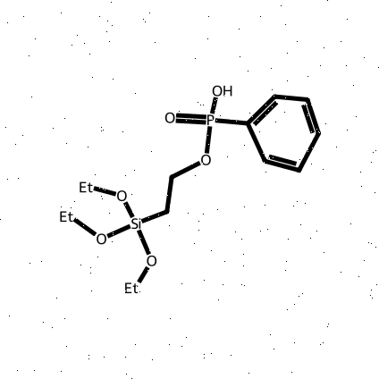 CCO[Si](CCOP(=O)(O)c1ccccc1)(OCC)OCC